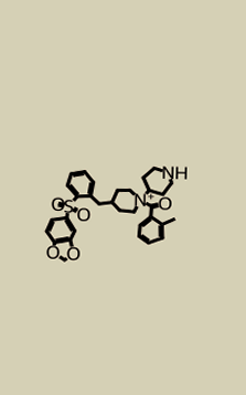 Cc1ccccc1C(=O)[N+]1(C2CCNCC2)CCC(Cc2ccccc2S(=O)(=O)c2ccc3c(c2)OCO3)CC1